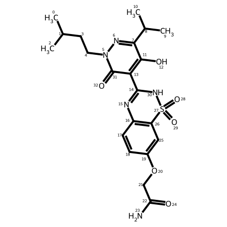 CC(C)CCn1nc(C(C)C)c(O)c(C2=Nc3ccc(OCC(N)=O)cc3S(=O)(=O)N2)c1=O